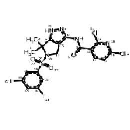 CC1(C)c2[nH]nc(NC(=O)c3ccc(Cl)nc3Cl)c2CN1S(=O)(=O)c1cc(F)cc(F)c1